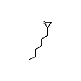 CCCCCCC1CO1